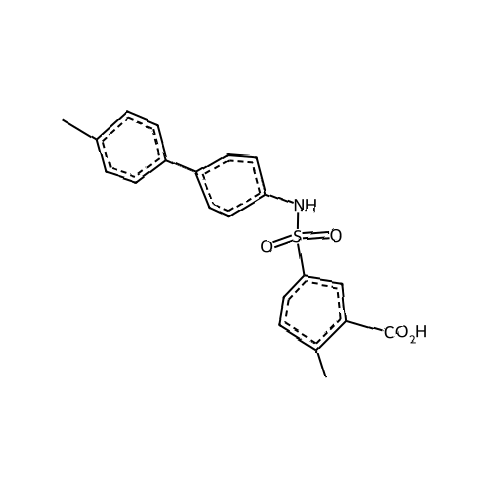 Cc1ccc(-c2ccc(NS(=O)(=O)c3ccc(C)c(C(=O)O)c3)cc2)cc1